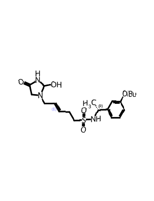 CC(C)COc1cccc([C@@H](C)NS(=O)(=O)CC/C=C/CN2CC(=O)NC2O)c1